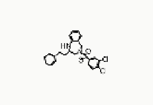 O=S(=O)(c1ccc(Cl)c(Cl)c1)N1Cc2ccccc2NC(CCC2=CCCC=C2)C1